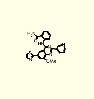 COc1cc(-c2nccs2)cc2c(Nc3ccccc3C(N)=O)nc(-c3cccnc3)nc12